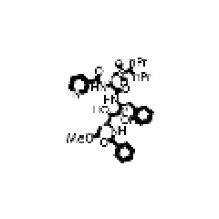 CCCC(CCC)S(=O)(=O)C[C@@H](NC(=O)c1cccnc1)C(=O)N[C@@H](Cc1ccccc1)[C@@H](O)[C@H](O)[C@@H](CCOC)NC(=O)c1ccccc1